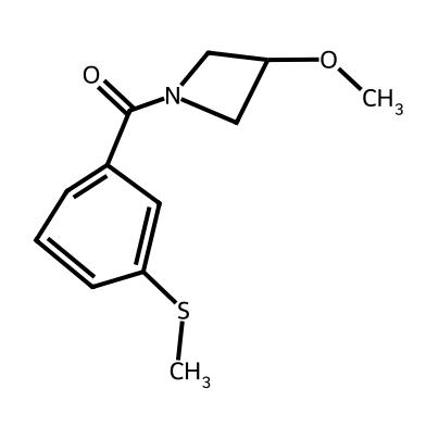 COC1CN(C(=O)c2cccc(SC)c2)C1